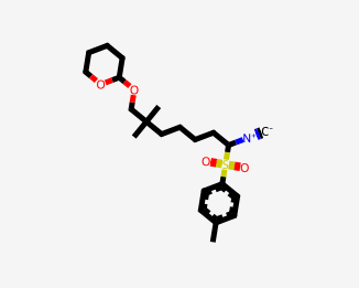 [C-]#[N+]C(CCCCC(C)(C)COC1CCCCO1)S(=O)(=O)c1ccc(C)cc1